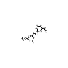 CC(C)OC(=O)COc1cccc(C=O)c1